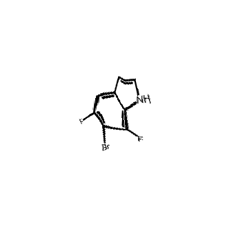 Fc1cc2cc[nH]c2c(F)c1Br